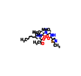 C=C/C=C\C=C(/C)C[C@H](NC(=O)[C@H](COC)NC(=O)[C@H](COC)NC(=O)c1cnc(C)s1)C(=O)[C@@]1(C)CO1